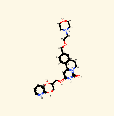 O=c1nc(OCC2COc3ncccc3O2)cc2n1CCc1cc(COCCN3CCOCC3)ccc1-2